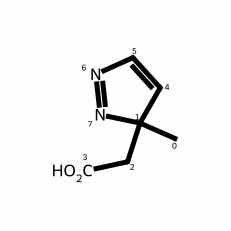 CC1(CC(=O)O)C=CN=N1